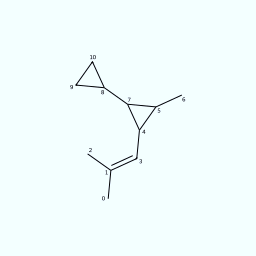 CC(C)=CC1C(C)C1C1CC1